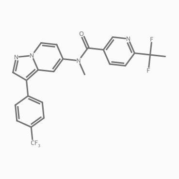 CN(C(=O)c1ccc(C(C)(F)F)nc1)c1ccn2ncc(-c3ccc(C(F)(F)F)cc3)c2c1